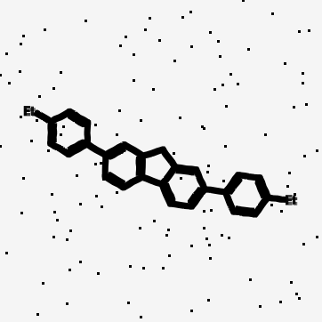 CCc1ccc(-c2ccc3c(c2)Cc2cc(-c4ccc(CC)cc4)ccc2-3)cc1